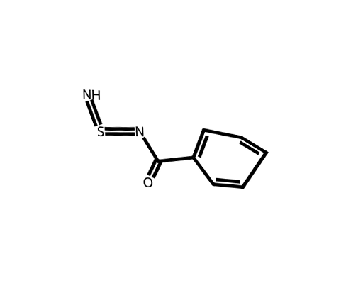 N=S=NC(=O)c1ccccc1